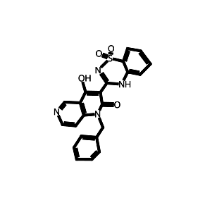 O=c1c(C2=NS(=O)(=O)c3ccccc3N2)c(O)c2cnccc2n1Cc1ccccc1